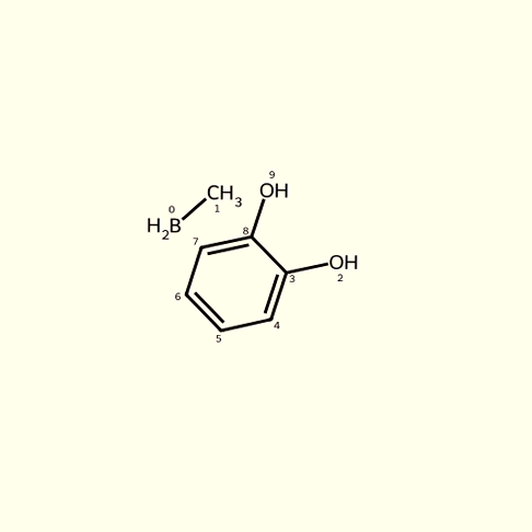 BC.Oc1ccccc1O